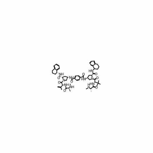 C=C(C)[C@H](NC(=O)[C@H](C)NC)C(=O)N1C[C@@H](NC(=O)c2ccc(C(=O)N[C@H]3C[C@@H](C(=O)NC4CCCc5ccccc54)N(C(=O)[C@@H](NC(=O)[C@H](C)NC)C(C)(C)C)C3)cc2)C[C@H]1C(=O)N[C@@H]1CCCc2ccccc21